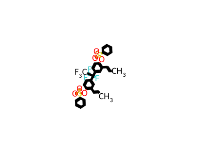 CC=Cc1cc(C(F)(c2ccc(OS(=O)(=O)c3ccccc3)c(C=CC)c2)C(F)(F)C(F)(F)F)ccc1OS(=O)(=O)c1ccccc1